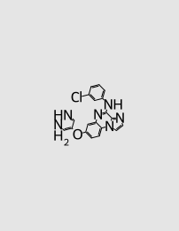 N=C/C(=C\N)Oc1ccc2c(c1)nc(Nc1cccc(Cl)c1)c1nccn12